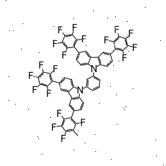 Cc1c(F)c(F)c(F)c(-c2ccc3c(c2)c2cc(-c4c(F)c(F)c(F)c(F)c4F)ccc2n3-c2cccc(-n3c4ccc(-c5c(F)c(F)c(F)c(F)c5F)cc4c4cc(-c5c(F)c(F)c(F)c(F)c5F)ccc43)c2)c1F